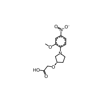 COc1cc([N+](=O)[O-])ccc1N1CC[C@@H](OCC(=O)O)C1